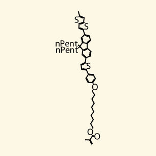 C=C(C)C(=O)OCCCCCCCCCCOc1ccc(-c2ccc(-c3ccc4c(c3)C(CCCCC)(CCCCC)c3cc(-c5cc6sc(C)cc6s5)ccc3-4)s2)cc1